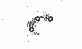 COc1ccc(NC(=S)NS(=O)(=O)c2ccc(CCNS(=O)(=O)c3ccccc3)cc2)cc1